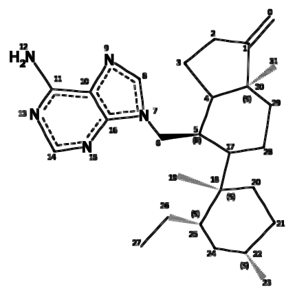 C=C1CCC2[C@H](Cn3cnc4c(N)ncnc43)C([C@@]3(C)CC[C@H](C)C[C@@H]3CC)CC[C@]12C